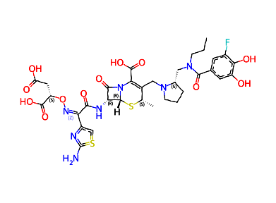 CCCN(C[C@@H]1CCCN1CC1=C(C(=O)O)N2C(=O)[C@@H](NC(=O)/C(=N\O[C@@H](CC(=O)O)C(=O)O)c3csc(N)n3)[C@H]2S[C@H]1C)C(=O)c1cc(O)c(O)c(F)c1